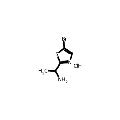 CC(N)c1ncc(Br)s1.Cl